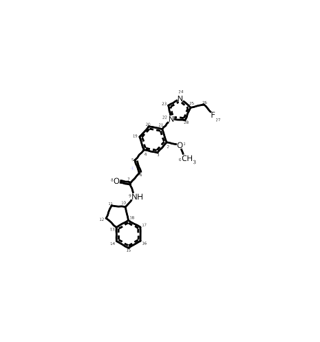 COc1cc(/C=C/C(=O)NC2CCc3ccccc32)ccc1-n1cnc(CF)c1